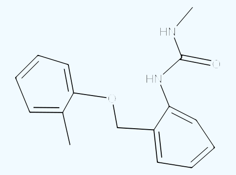 CNC(=O)Nc1ccccc1COc1ccccc1C